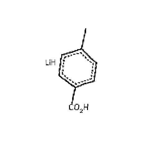 Cc1ccc(C(=O)O)cc1.[LiH]